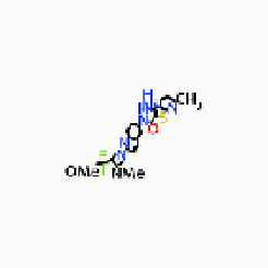 CNC1CN(c2ccc3c(n2)CCC(NC(=O)c2sc4nc(C)ccc4c2N)C3)CC1C(F)(F)COC